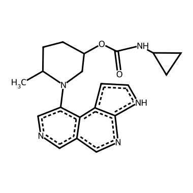 CC1CCC(OC(=O)NC2CC2)CN1c1cncc2cnc3[nH]ccc3c12